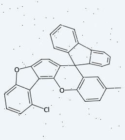 Cc1ccc2c(c1)C1(c3ccccc3-c3ccccc31)c1ccc3oc4cccc(Cl)c4c3c1O2